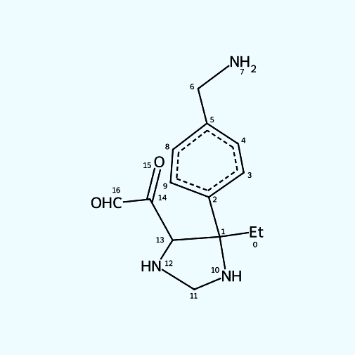 CCC1(c2ccc(CN)cc2)NCNC1C(=O)C=O